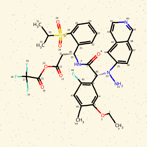 CCOc1cc([C@H](C(=O)N[C@H](CC(=O)OC(=O)C(F)(F)F)c2ccccc2S(=O)(=O)C(C)C)N(N)c2ccc3cnccc3c2)c(F)cc1C